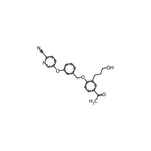 CC(=O)c1ccc(OCc2cccc(Oc3ccc(C#N)nc3)c2)c(CCCO)c1